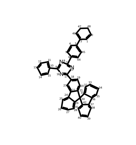 C1=CC(c2ccc(-c3nc(-c4ccccc4)nc(-c4ccc5c(c4)-c4ccccc4C54c5ccccc5-c5ccccc54)n3)cc2)=CCC1